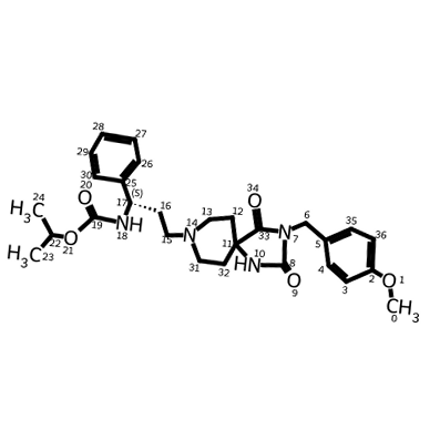 COc1ccc(CN2C(=O)NC3(CCN(CC[C@H](NC(=O)OC(C)C)c4ccccc4)CC3)C2=O)cc1